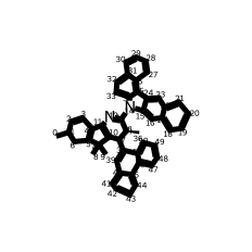 CC1C=CC2=C(C1)C(C)(C)C1=C2N=C(n2c3cc4ccccc4cc3c3c4ccccc4ccc32)[C@@H](C)C1c1cc2ccccc2c2ccccc12